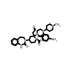 CN1CCC(N2CCN(C3(CC=O)CC(N4CCc5ccccc5NC4=O)CC[N@+]3(Cc3ccc(N)cc3)C(=O)[O-])CC2)CC1